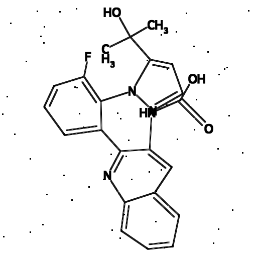 CC(C)(O)c1ccnn1-c1c(F)cccc1-c1nc2ccccc2cc1NC(=O)O